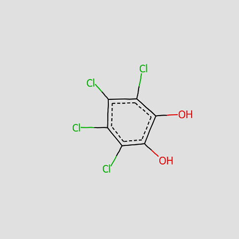 Oc1c(O)c(Cl)c(Cl)c(Cl)c1Cl